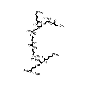 CCCCCCCCCCCCCC(=O)N[C@@H](COCC[C@@H](CCCCCCC)OC(C)=O)COP(=O)(O)OCCNC(=O)NCCOP(=O)(O)OC[C@H](COCC[C@@H](CCCCCCC)OC(=O)CCCCCCCCCCC)NC(=O)CCCCCCCCCCCCC